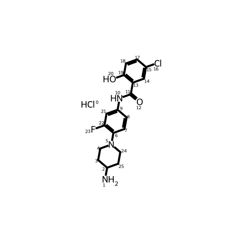 Cl.NC1CCN(c2ccc(NC(=O)c3cc(Cl)ccc3O)cc2F)CC1